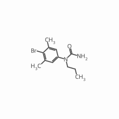 CCCN(C(N)=O)c1cc(C)c(Br)c(C)c1